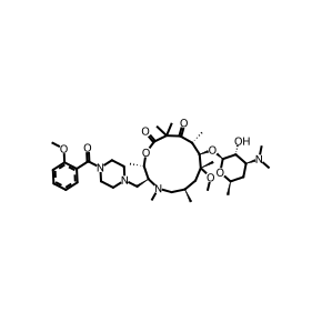 COc1ccccc1C(=O)N1CCN(C[C@H]2[C@H](C)OC(=O)C(C)(C)C(=O)[C@H](C)[C@@H](O[C@@H]3O[C@H](C)C[C@H](N(C)C)[C@H]3O)[C@](C)(OC)C[C@@H](C)CN2C)CC1